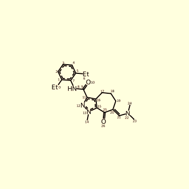 CCc1cccc(CC)c1NC(=O)c1nn(C)c2c1CCC/C(=C\N(C)C)C2=O